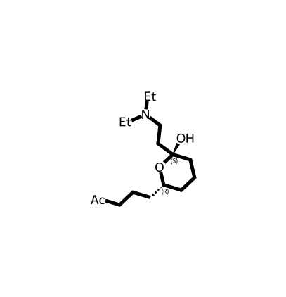 CCN(CC)CC[C@]1(O)CCC[C@H](CCCC(C)=O)O1